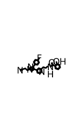 N#CCCn1cc(-c2ccnc(CCCNC(=O)c3ccccc3O)c2)c(-c2ccc(F)cc2)n1